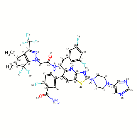 C[C@@H]1c2c(C(F)(F)F)nn(CC(=O)N[C@@H](Cc3cc(F)cc(F)c3)c3nc4nc(N5CCN(c6cncnc6)CC5)sc4cc3-c3ccc(F)c(C(N)=O)c3)c2C(F)(F)[C@@H]1C